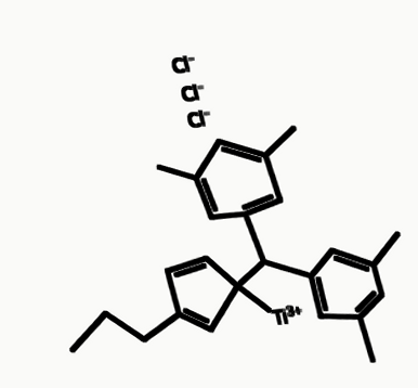 CCCC1=C[C]([Ti+3])(C(c2cc(C)cc(C)c2)c2cc(C)cc(C)c2)C=C1.[Cl-].[Cl-].[Cl-]